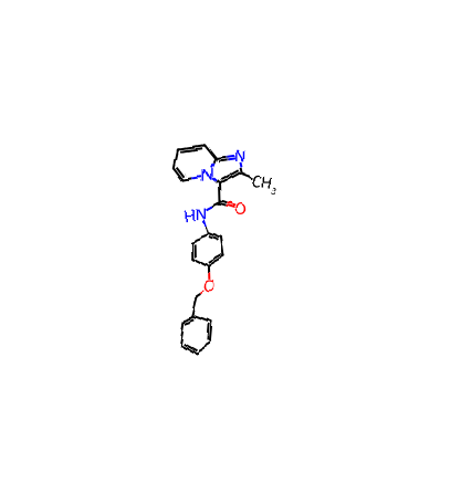 Cc1nc2ccccn2c1C(=O)Nc1ccc(OCc2ccccc2)cc1